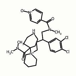 CN(C)C(=O)C1([N+]2(CCC(CN(C)C(=O)c3cc[n+]([O-])cc3)c3ccc(Cl)c(Cl)c3)CCCCC2)CCNCC1